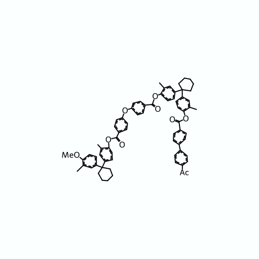 COc1ccc(C2(c3ccc(OC(=O)c4ccc(Oc5ccc(C(=O)Oc6ccc(C7(c8ccc(OC(=O)c9ccc(-c%10ccc(C(C)=O)cc%10)cc9)c(C)c8)CCCCC7)cc6C)cc5)cc4)c(C)c3)CCCCC2)cc1C